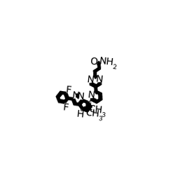 CC1(C)[C@H]2CC[C@]1(c1cccc(-c3cnc(CCC(N)=O)nc3)n1)c1nnc(-c3c(F)cccc3F)cc12